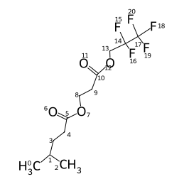 CC(C)CCC(=O)OCCC(=O)OCC(F)(F)C(F)(F)F